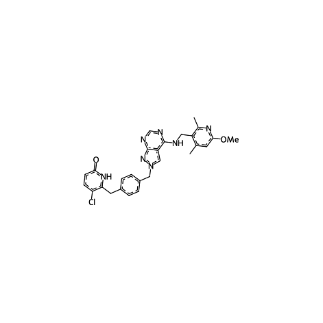 COc1cc(C)c(CNc2ncnc3nn(Cc4ccc(Cc5[nH]c(=O)ccc5Cl)cc4)cc23)c(C)n1